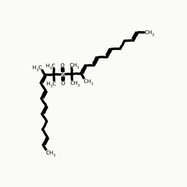 CC=CCCC=CC=CC=C(C)C(C)(C)S(=O)(=O)C(C)(C)C(C)=CC=CC=CCCC=CC